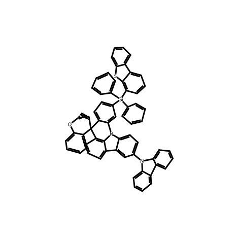 c1ccc([Si](c2ccccc2)(c2ccc3c(c2)-n2c4ccc(-n5c6ccccc6c6ccccc65)cc4c4cccc(c42)C32c3ccccc3Oc3ccccc32)c2cccc3c2sc2ccccc23)cc1